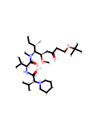 CC[C@H](C)[C@@H]([C@@H](CC(=O)CCOC(C)(C)C)OC)N(C)C(=O)[C@@H](NC(=O)[C@H](C(C)C)N1CCCCC1)C(C)C